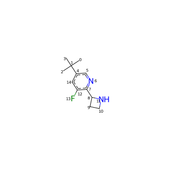 CC(C)(C)c1cnc(C2CCN2)c(F)c1